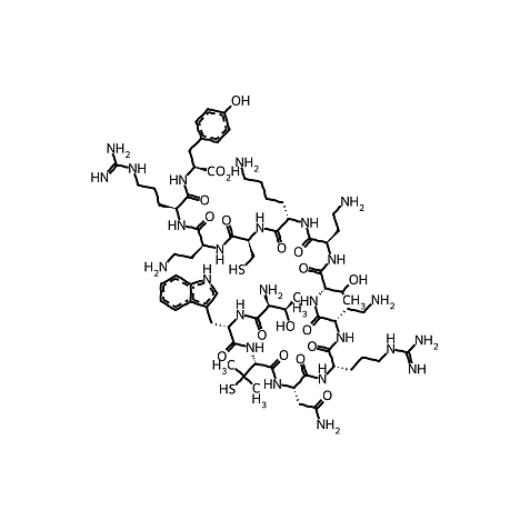 C[C@@H](O)[C@H](N)C(=O)N[C@@H](Cc1c[nH]c2ccccc12)C(=O)N[C@H](C(=O)N[C@@H](CC(N)=O)C(=O)N[C@@H](CCCNC(=N)N)C(=O)N[C@@H](CCN)C(=O)N[C@H](C(=O)N[C@H](CCN)C(=O)N[C@@H](CCCCN)C(=O)N[C@@H](CS)C(=O)N[C@@H](CCN)C(=O)N[C@@H](CCCNC(=N)N)C(=O)N[C@@H](Cc1ccc(O)cc1)C(=O)O)[C@@H](C)O)C(C)(C)S